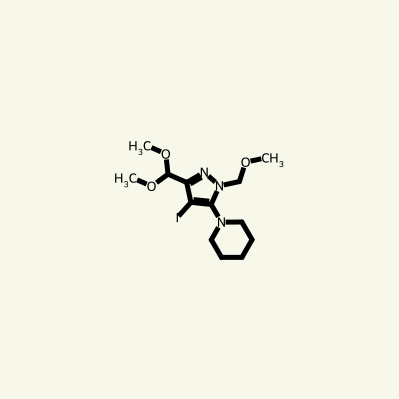 COCn1nc(C(OC)OC)c(I)c1N1CCCCC1